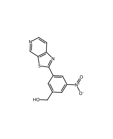 O=[N+]([O-])c1cc(CO)cc(-c2nc3ccncc3s2)c1